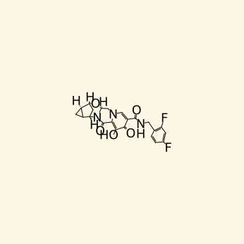 O=C(NCc1ccc(F)cc1F)c1cn2c(c(O)c1=O)C(=O)N1[C@H](C2)O[C@@H]2C[C@H]1C1C[C@H]12